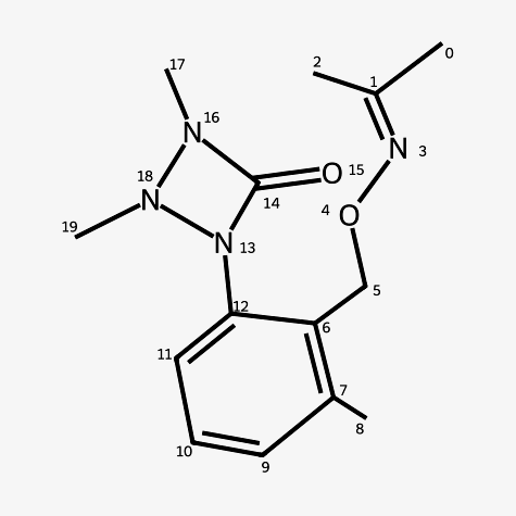 CC(C)=NOCc1c(C)cccc1-n1c(=O)n(C)n1C